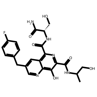 CC(CO)NC(=O)c1nc(C(=O)N[C@@H](CO)C(N)=O)c2cc(Cc3ccc(F)cc3)cnc2c1O